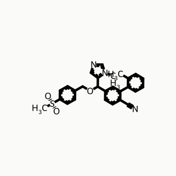 Cc1ccccc1-c1cc(C(OCc2ccc(S(C)(=O)=O)cc2)c2cncn2C)ccc1C#N